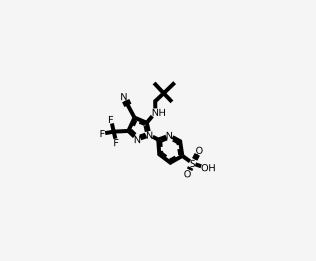 CC(C)(C)CNc1c(C#N)c(C(F)(F)F)nn1-c1ccc(S(=O)(=O)O)cn1